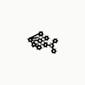 c1ccc(-c2cc(-c3ccccc3)nc(-c3ccc4c(c3)B3c5ccccc5N5c6cccc7c8ccc9c%10c8n(c67)C6C5C3C3[C@@H]5[C@H]6B%10c6c-9ccc7c8cccc(c8n5c67)N43)n2)cc1